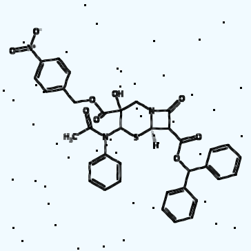 CC(=O)N(c1ccccc1)C1S[C@@H]2C(C(=O)OC(c3ccccc3)c3ccccc3)C(=O)N2CC1(O)C(=O)OCc1ccc([N+](=O)[O-])cc1